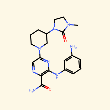 CN1CCN(C2CCCN(c3cnc(C(N)=O)c(Nc4cccc(N)c4)n3)C2)C1=O